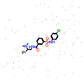 CC(C)C(CNC(=O)c1cccc(S(=O)(=O)Nc2ccc(Br)cc2)c1)N(C)C